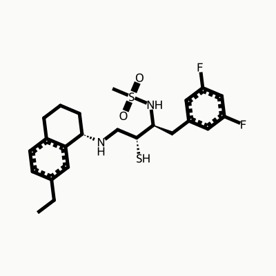 CCc1ccc2c(c1)[C@@H](NC[C@@H](S)[C@H](Cc1cc(F)cc(F)c1)NS(C)(=O)=O)CCC2